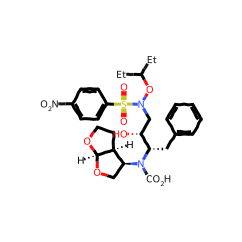 CCC(CC)ON(C[C@@H](O)[C@H](Cc1ccccc1)N(C(=O)O)[C@H]1CO[C@H]2OCC[C@H]21)S(=O)(=O)c1ccc([N+](=O)[O-])cc1